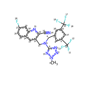 Cn1nnc(N(Cc2cc(C(F)(F)F)cc(C(F)(F)F)c2)Cc2cc3ccc(F)cc3nc2C#N)n1